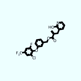 C=C(Cc1cccnc1O)C(=O)OCc1cccc(Oc2c(F)cc(C(F)(F)F)cc2Cl)c1